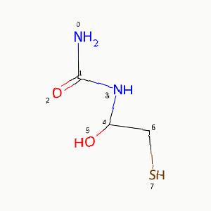 NC(=O)NC(O)CS